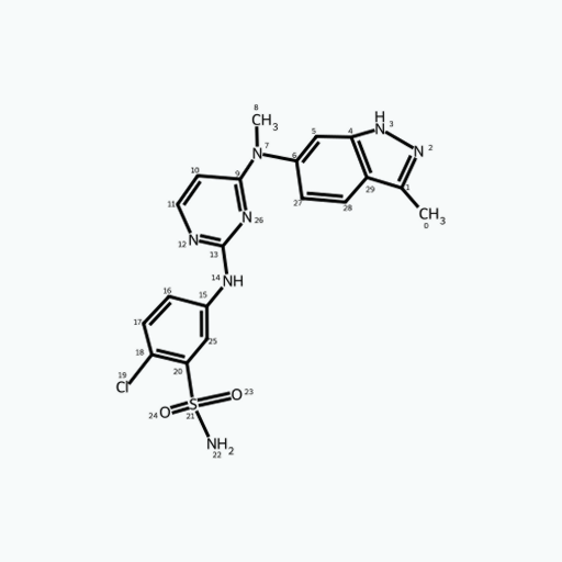 Cc1n[nH]c2cc(N(C)c3ccnc(Nc4ccc(Cl)c(S(N)(=O)=O)c4)n3)ccc12